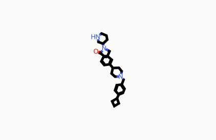 O=C1c2ccc(C3CCN(Cc4ccc(C5CCC5)cc4)CC3)cc2CN1C1CCCNC1